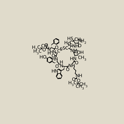 C[C@@H](O)[C@@H]1NC(=O)[C@H](CCCCNC(=O)OC(C)(C)C)NC(=O)[C@@H](Cc2c[nH]c3ccccc23)NC(=O)[C@H](Cc2ccc(O)cc2)NC(=O)[C@@H](NC(=O)[C@@H](Cc2ccccc2)NC(=O)OC(C)(C)C)CSSC[C@@H](C(=O)N[C@@H](C(N)=O)C(C)(C)S)NC1=O